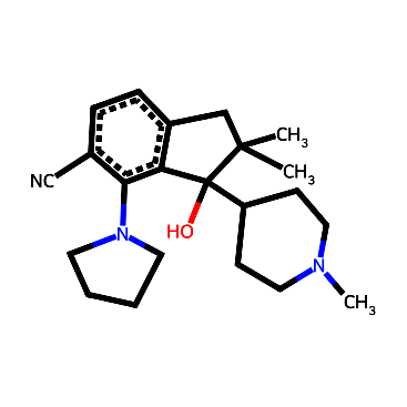 CN1CCC(C2(O)c3c(ccc(C#N)c3N3CCCC3)CC2(C)C)CC1